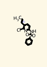 C/C=C/c1ccc(NS(=O)(=O)c2ccccc2)nc1Cl